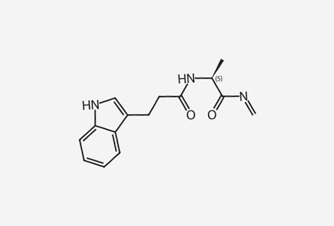 C=NC(=O)[C@H](C)NC(=O)CCc1c[nH]c2ccccc12